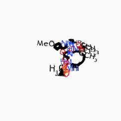 CC[C@@H]1C[C@H](C)CC/C=C\[C@@H]2C[C@@]2(C(=O)NS(=O)(=O)C2(C)CC2)NC(=O)[C@@H]2C[C@@H](Oc3cc(-n4ccc(C(C)C)n4)nc4cc(OC)ccc34)CN2C(=O)[C@H]1NC(=O)OC(C)(C)C(F)(F)F